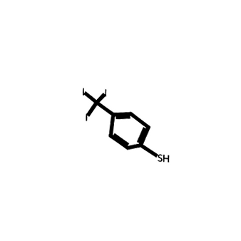 Sc1ccc(C(I)(I)I)cc1